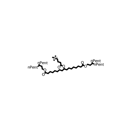 CCCCCC(CCCCC)CCOC(=O)CCCCCCCC(CCCCCCCC(=O)OCCC(CCCCC)CCCCC)OC(=O)CCC[N+](C)(C)C